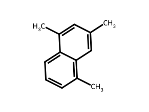 Cc1cc(C)c2cccc(C)c2c1